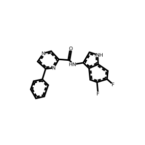 O=C(Nc1c[nH]c2cc(F)c(F)cc12)c1cncc(-c2ccccc2)n1